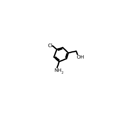 Nc1cc(Cl)cc(CO)c1